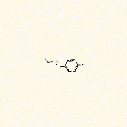 CC(C)CNSc1ccc(Cl)cc1